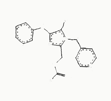 CC(C)c1c(Sc2ccccc2)nc(COC(N)=O)n1Cc1ccncc1